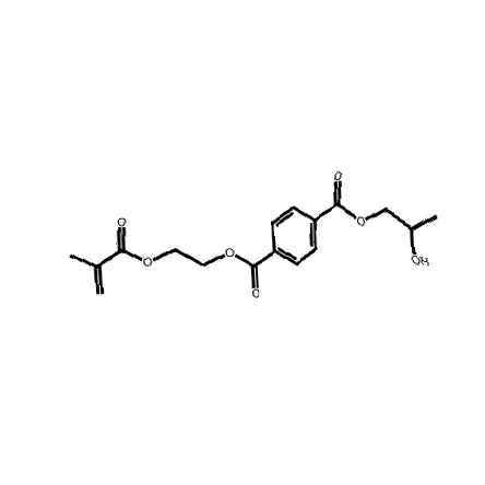 C=C(C)C(=O)OCCOC(=O)c1ccc(C(=O)OCC(C)O)cc1